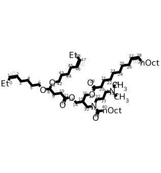 CC/C=C\CCCCOC(CCC(=O)OCC(COC(=O)CCCCCCC/C=C\CCCCCCCC)CN(CCCN(C)C)C(=O)CCCCCCCC)OCCCC/C=C\CC